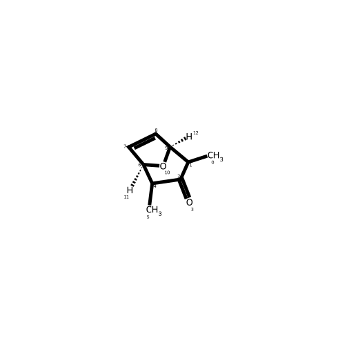 CC1C(=O)C(C)[C@H]2C=C[C@@H]1O2